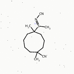 C/S(=N\C#N)C1(C)CCCCC(C)(C#N)CCC1